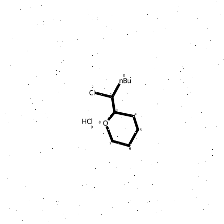 CCCCC(Cl)C1CCCCO1.Cl